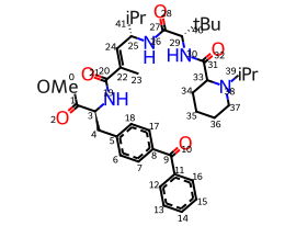 COC(=O)[C@H](Cc1ccc(C(=O)c2ccccc2)cc1)NC(=O)/C(C)=C/[C@@H](NC(=O)[C@@H](NC(=O)C1CCCCN1C(C)C)C(C)(C)C)C(C)C